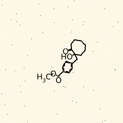 COC(=O)c1ccc(CC2(O)CCCCCCC2=O)cc1